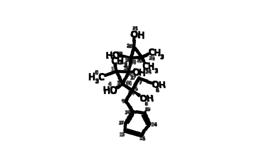 CC1(C)[C@@](O)([C@](O)(CO)Cc2ccccc2)[C@]1(O)[C@]1(O)C(O)C1(C)C